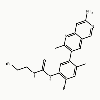 Cc1cc(F)c(NC(=O)NCCC(C)(C)C)cc1-c1cc2cnc(N)cc2nc1C